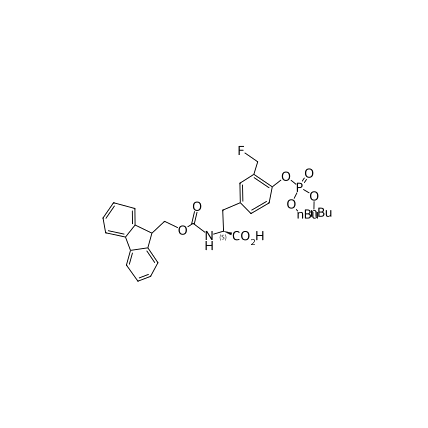 CCCCOP(=O)(OCCCC)Oc1ccc(C[C@H](NC(=O)OCC2c3ccccc3-c3ccccc32)C(=O)O)cc1CF